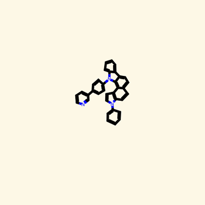 c1ccc(-n2ccc3c4c(ccc5c6ccccc6n(-c6ccc(-c7cccnc7)cc6)c54)ccc32)cc1